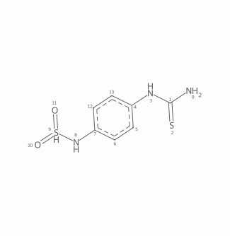 NC(=S)Nc1ccc(N[SH](=O)=O)cc1